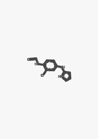 O=CNc1ccc(Nc2ccc[nH]2)cc1Cl